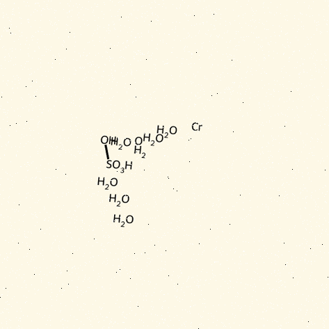 O.O.O.O.O.O.O.O=S(=O)(O)O.[Cr]